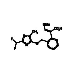 COC=C(C(=O)O)c1ccccc1COc1nc(C(F)F)sc1C